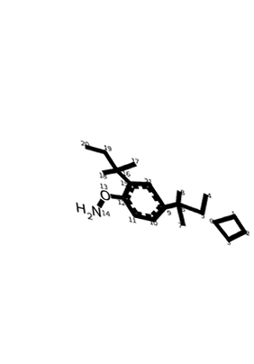 C1CCC1.CCC(C)(C)c1ccc(ON)c(C(C)(C)CC)c1